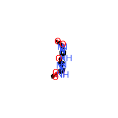 COC(C)(C)c1nc(N2CCC(NC(=O)c3cnc(N4CC(I)[C@@H](NC(=O)OC(C)(C)C)C4)nc3)CC2)no1